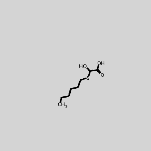 CCCCCCSC(O)C(=O)O